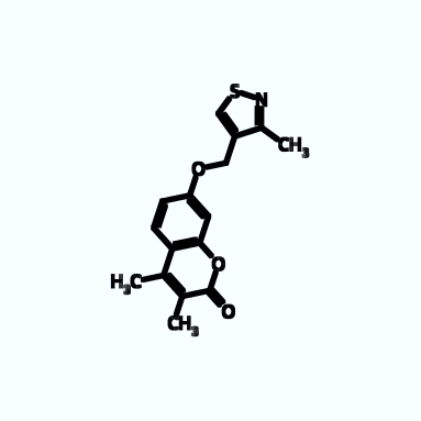 Cc1nscc1COc1ccc2c(C)c(C)c(=O)oc2c1